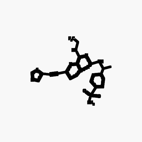 CC(Nc1nc(NCC(F)(F)F)c2nc(C#Cc3cncs3)ccc2n1)c1ccc(S(N)(=O)=O)cc1